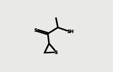 CC(S)C(=S)C1CS1